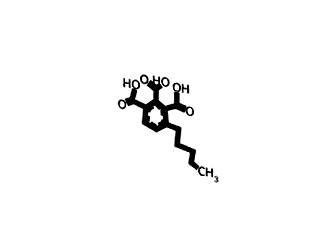 CCCCCc1ccc(C(=O)O)c(C(=O)O)c1C(=O)O